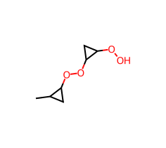 CC1CC1OOC1CC1OO